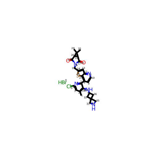 Br.Cc1cc(Cl)nc(-c2ccnc3cc(CN4C(=O)C5C(C4=O)C5(C)C)sc23)c1NC1CC2(CNC2)C1